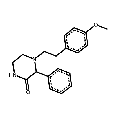 COc1ccc(CCN2CCNC(=O)C2c2ccccc2)cc1